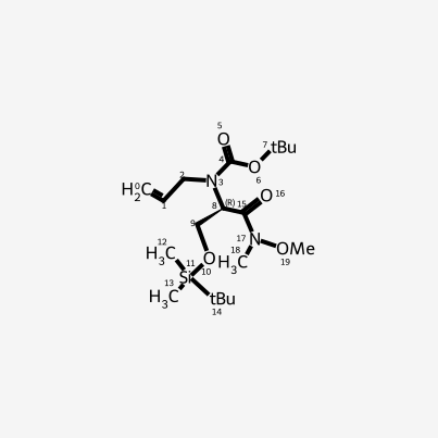 C=CCN(C(=O)OC(C)(C)C)[C@H](CO[Si](C)(C)C(C)(C)C)C(=O)N(C)OC